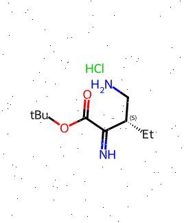 CC[C@@H](CN)C(=N)C(=O)OC(C)(C)C.Cl